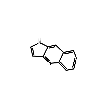 [c]1cc2nc3ccccc3cc2[nH]1